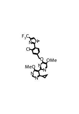 COc1cnc(-c2c(OC)ncnc2C2CC2)nc1OCc1ccc(-c2nc(C(F)(F)F)cn2C)c(Cl)c1